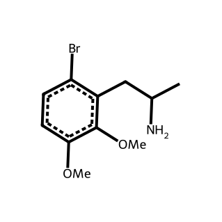 COc1ccc(Br)c(CC(C)N)c1OC